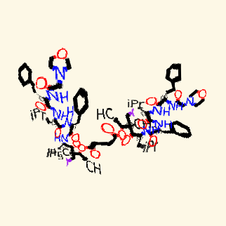 C#CC(OC(=O)CCC(=O)OC(C#C)[C@](C)(CI)C(=O)[C@H](CC(C)C)NC(=O)[C@H](Cc1ccccc1)NC(=O)[C@H](CC(C)C)NC(=O)[C@H](CCc1ccccc1)NC(=O)CN1CCOCC1)[C@](C)(CI)C(=O)[C@H](CC(C)C)NC(=O)[C@H](Cc1ccccc1)NC(=O)[C@H](CC(C)C)NC(=O)[C@H](CCc1ccccc1)NC(=O)CN1CCOCC1